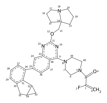 C=C(F)C(=O)N1CCN(c2nc(OCC34CCCN3CCC4)nc3cc(-c4cccc5c4C4CC4C5)ccc23)CC1